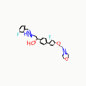 OC(CNCc1cccc(F)c1)c1ccc(-c2ccc(OCCN3CCOCC3)cc2F)cc1